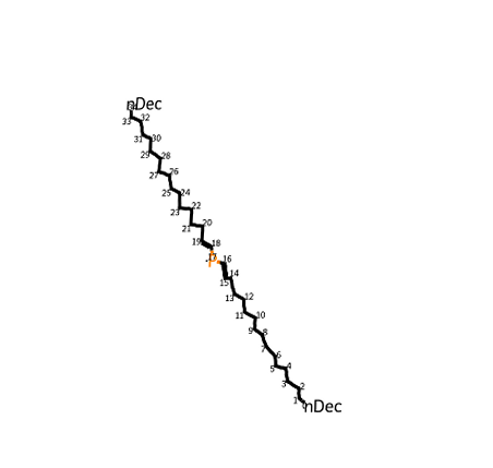 CCCCCCCCCCCCCCCCCCCCCCCCC=C[P]C=CCCCCCCCCCCCCCCCCCCCCCCCC